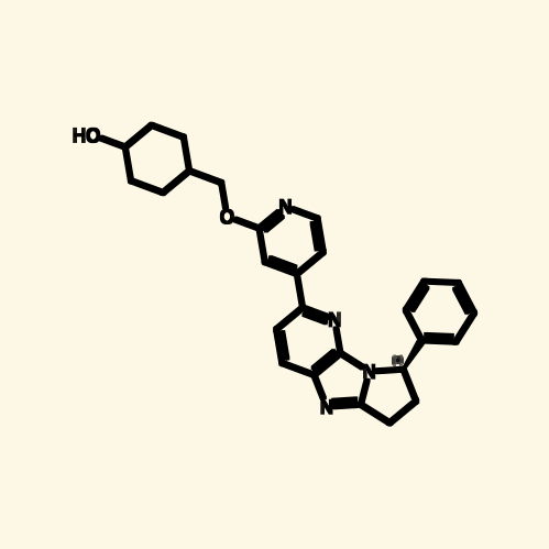 OC1CCC(COc2cc(-c3ccc4nc5n(c4n3)[C@@H](c3ccccc3)CC5)ccn2)CC1